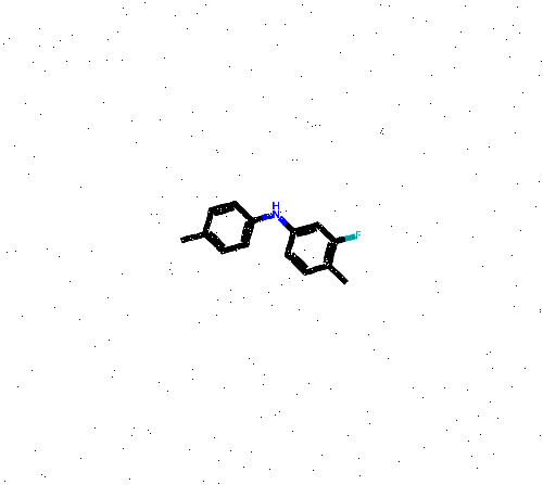 Cc1ccc(Nc2ccc(C)c(F)c2)cc1